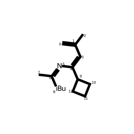 C=C(C)/C=C(\N=C(\C)C(C)CC)C1CCC1